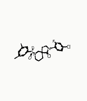 Cc1cc(C)cc(S(=O)(=O)N2CCCC3(CCN(c4ccc(Cl)cc4F)C3=O)C2)c1